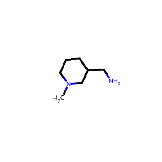 [CH2]N1CCCC(CN)C1